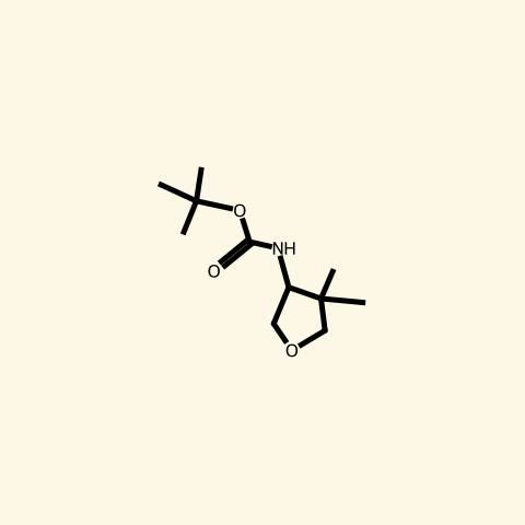 CC(C)(C)OC(=O)NC1COCC1(C)C